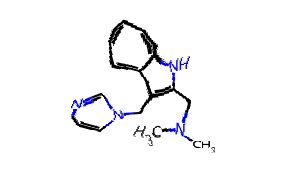 CN(C)Cc1[nH]c2ccccc2c1Cn1ccnc1